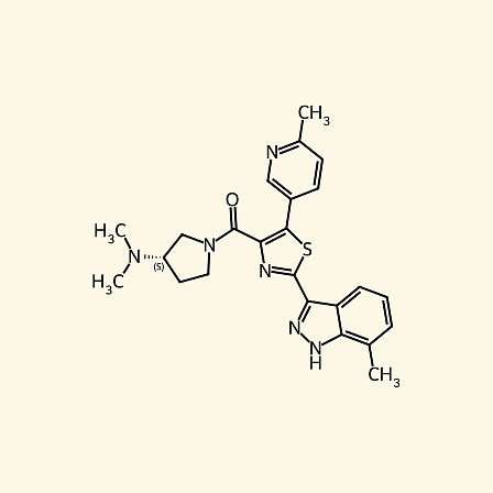 Cc1ccc(-c2sc(-c3n[nH]c4c(C)cccc34)nc2C(=O)N2CC[C@H](N(C)C)C2)cn1